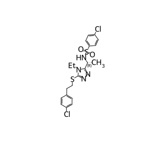 CCn1c(SCCc2ccc(Cl)cc2)nnc1[C@@H](C)NS(=O)(=O)c1ccc(Cl)cc1